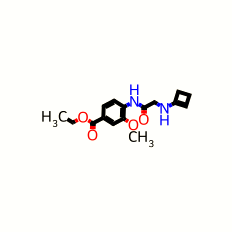 CCOC(=O)c1ccc(NC(=O)CNC2=CCC2)c(OC)c1